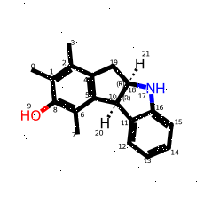 Cc1c(C)c2c(c(C)c1O)[C@@H]1c3ccccc3N[C@@H]1C2